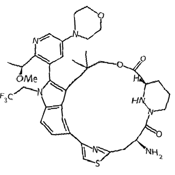 CO[C@@H](C)c1ncc(N2CCOCC2)cc1-c1c2c3cc(ccc3n1CC(F)(F)F)-c1csc(n1)C[C@H](N)C(=O)N1CCC[C@H](N1)C(=O)OCC(C)(C)C2